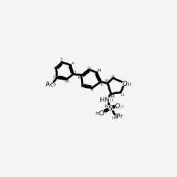 CC(=O)c1cccc(-c2ccc(C3COCC3NS(=O)(=O)C(C)C)cc2)c1